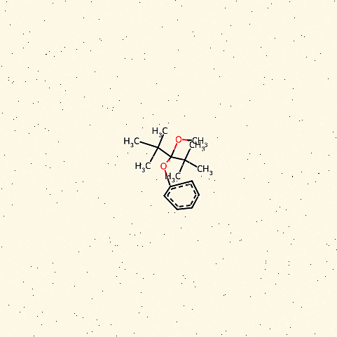 COC(Oc1ccccc1)(C(C)(C)C)C(C)(C)C